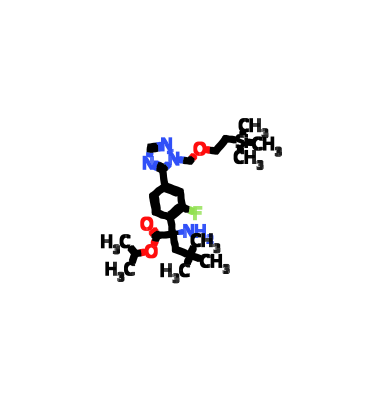 CC(C)OC(=O)[C@@](N)(CC(C)(C)C)c1ccc(-c2ncnn2COCC[Si](C)(C)C)cc1F